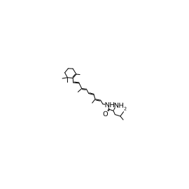 CC1=C(/C=C/C(C)=C/C=C/C(C)=C/CNC(=O)[C@@H](N)CC(C)C)C(C)(C)CCC1